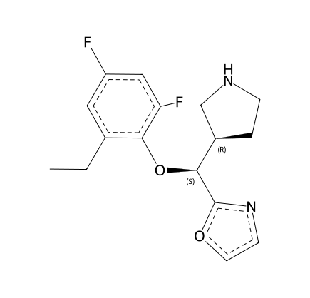 CCc1cc(F)cc(F)c1O[C@H](c1ncco1)[C@@H]1CCNC1